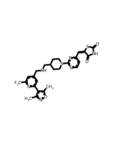 Cc1noc(C)c1-c1cc(CNCC2CCN(c3nccc(C=C4SC(=O)NC4=O)n3)CC2)cc(C(F)(F)F)n1